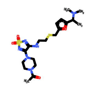 CC(=O)N1CCN(C2=NS(=O)(=O)N=C2NCCSCc2ccc(C(C)N(C)C)o2)CC1